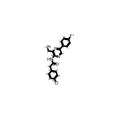 CC(C)Cc1nc(-c2ccc(F)cc2)cnc1NC(=O)Cc1ccc(Cl)cc1